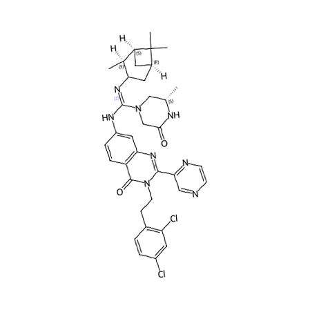 C[C@@H]1C(/N=C(/Nc2ccc3c(=O)n(CCc4ccc(Cl)cc4Cl)c(-c4cnccn4)nc3c2)N2CC(=O)N[C@@H](C)C2)C[C@H]2C[C@@H]1C2(C)C